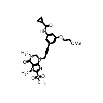 COCCOc1cc(C#CCN2CN(C)C(=O)c3c2nc(S(C)(=O)=O)n3C)cc(NC(=O)C2CC2)c1